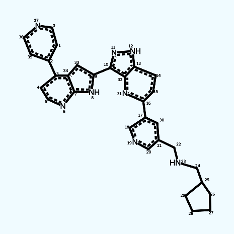 c1cc(-c2ccnc3[nH]c(-c4n[nH]c5ccc(-c6cncc(CNCC7CCCC7)c6)nc45)cc23)ccn1